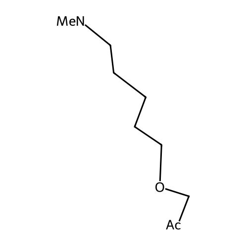 CNCCCCCOCC(C)=O